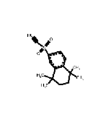 C#CS(=O)(=O)c1ccc2c(c1)C(C)(C)CCC2(C)C